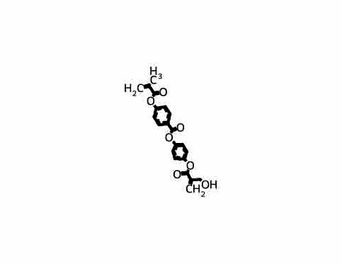 C=C(C)C(=O)Oc1ccc(C(=O)Oc2ccc(OC(=O)C(=C)CO)cc2)cc1